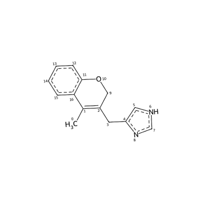 CC1=C(Cc2c[nH]cn2)COc2ccccc21